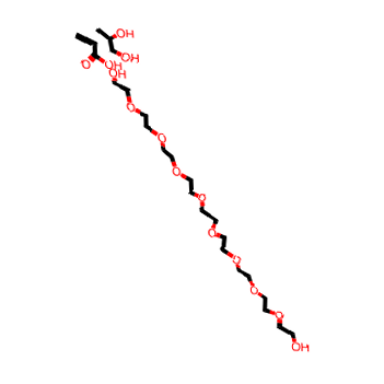 C=CC(=O)O.CC(O)CO.OCCOCCOCCOCCOCCOCCOCCOCCOCCO